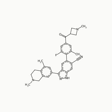 Cc1cc(-c2n[nH]c3cc(C#N)c(-c4c(C)cc(C(=O)C5CN(C)C5)cc4F)cc23)cc2c1CCN(C)C2